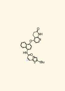 CC(C)(C)c1cnc(/C=C\C(=O)Nc2ccc(Oc3ccnc4c3CCC(=O)N4)c3ccccc23)s1